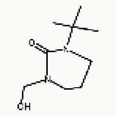 CC(C)(C)N1CCCN(CO)C1=O